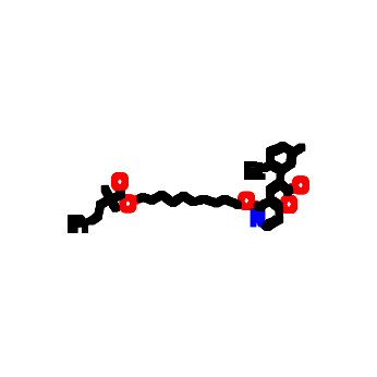 CCc1ccc(C)cc1-c1cc2c(OCCCCCCCCCCOC(=O)C(C)(C)CCC(C)C)nccc2oc1=O